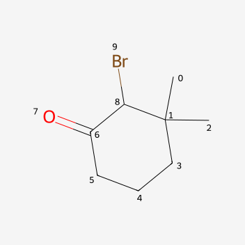 CC1(C)CCCC(=O)C1Br